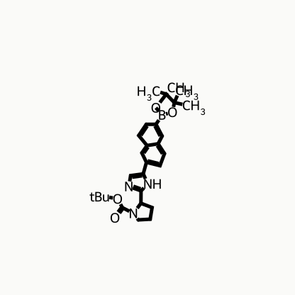 CC(C)(C)OC(=O)N1CCCC1c1ncc(-c2ccc3cc(B4OC(C)(C)C(C)(C)O4)ccc3c2)[nH]1